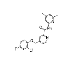 Cc1cc(C)nc(NC(=O)c2cc(COc3ccc(F)cc3Cl)ccn2)c1